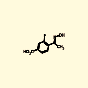 CC(=NO)c1ccc(C(=O)O)cc1F